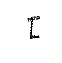 CCCCCCCCCCCCCCCCCCCCCN[C]=O